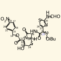 CC(C)CO/N=C(\C(=O)NC1C(=O)N2C(C(=O)OCc3ccc([N+](=O)[O-])cc3)=C(O)CS[C@H]12)c1csc(NC=O)n1